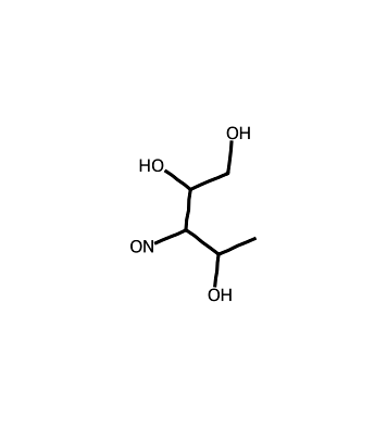 CC(O)C(N=O)C(O)CO